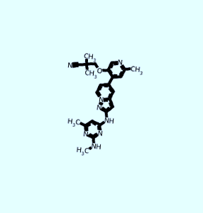 CNc1nc(C)cc(Nc2cc3cc(-c4cc(C)ncc4OCC(C)(C)C#N)ccn3n2)n1